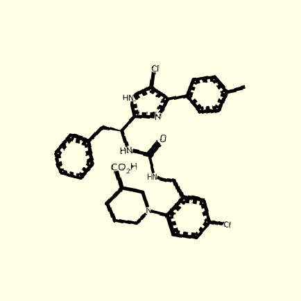 Cc1ccc(-c2nc([C@H](Cc3ccccc3)NC(=O)NCc3cc(Cl)ccc3N3CCCC(C(=O)O)C3)[nH]c2Cl)cc1